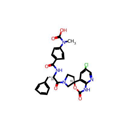 CN(C(=O)O)c1ccc(C(=O)N[C@@H](Cc2ccccc2)C(=O)N2CC[C@]3(C2)OC(=O)Nc2ncc(Cl)cc23)cc1